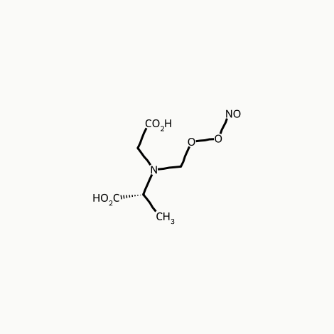 C[C@H](C(=O)O)N(COON=O)CC(=O)O